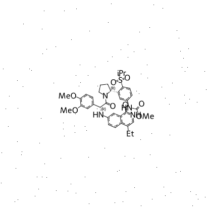 CCc1c[nH]c(=O)c2cc(N[C@@H](C(=O)N3CCC[C@@H]3c3cc(NC(=O)OC)ccc3S(=O)(=O)C(C)C)c3ccc(OC)c(OC)c3)ccc12